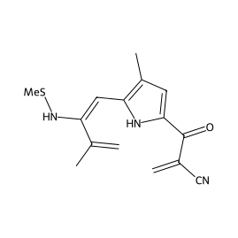 C=C(C#N)C(=O)c1cc(C)c(/C=C(/NSC)C(=C)C)[nH]1